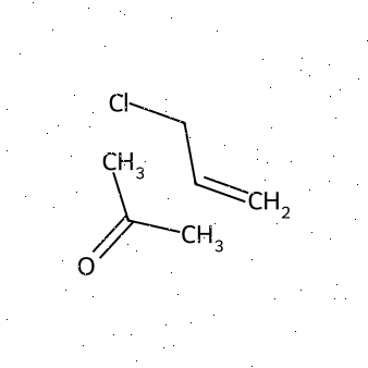 C=CCCl.CC(C)=O